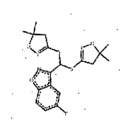 CC1(C)CC(SC(SC2=NOC(C)(C)C2)c2noc3ccc(F)cc23)=NO1